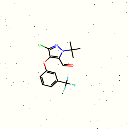 CC(C)(C)n1nc(Cl)c(Oc2cccc(C(F)(F)F)c2)c1C=O